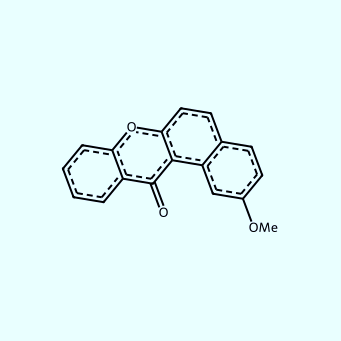 COc1ccc2ccc3oc4ccccc4c(=O)c3c2c1